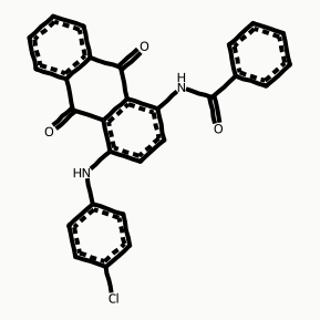 O=C(Nc1ccc(Nc2ccc(Cl)cc2)c2c1C(=O)c1ccccc1C2=O)c1ccccc1